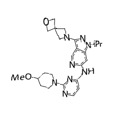 COC1CCN(c2nccc(Nc3cc4c(cn3)c(N3CC5(COC5)C3)nn4C(C)C)n2)CC1